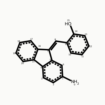 Nc1ccc2c(c1)C(=Cc1ccccc1O)c1ccccc1-2